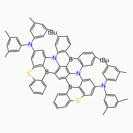 Cc1cc(C)cc(N(c2cc(C)cc(C)c2)c2cc3c4c(c2)N2c5cc(C(C)(C)C)ccc5B5c6ccc(C(C)(C)C)cc6N6c7cc(N(c8cc(C)cc(C)c8)c8cc(C)cc(C)c8)cc8c7B(c7ccccc7S8)c7cc(c2c5c76)B4c2ccccc2S3)c1